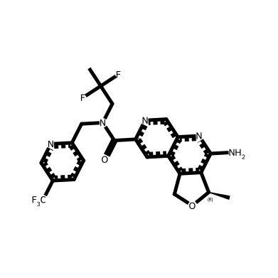 C[C@H]1OCc2c1c(N)nc1cnc(C(=O)N(Cc3ccc(C(F)(F)F)cn3)CC(C)(F)F)cc21